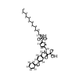 CCCCCCCCCCCCNS(=O)(=O)c1ccc(CN(Cc2ccc(Oc3ccccc3)cc2)C(=O)C(=O)O)s1